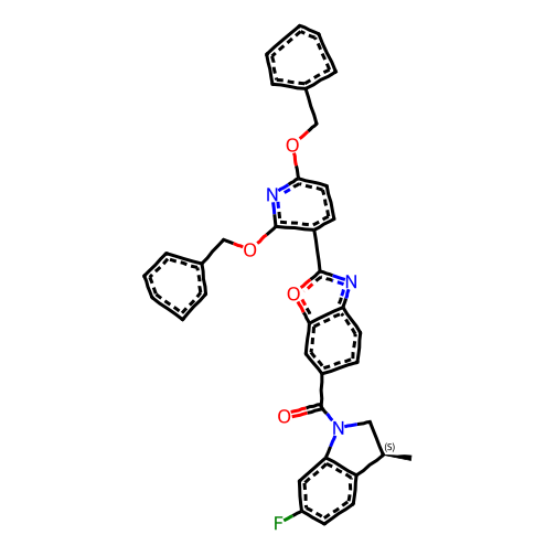 C[C@@H]1CN(C(=O)c2ccc3nc(-c4ccc(OCc5ccccc5)nc4OCc4ccccc4)oc3c2)c2cc(F)ccc21